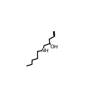 C=CCC(O)CNCCCCC